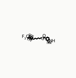 O=C(OCCCCCCC(F)(F)C(F)(F)C(F)(F)C(F)(F)F)c1ccc2[nH]nnc2c1